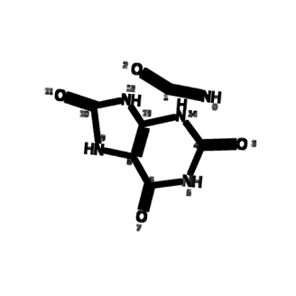 N=C=O.O=c1[nH]c(=O)c2[nH]c(=O)[nH]c2[nH]1